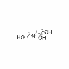 OCC[N]CC(O)CO